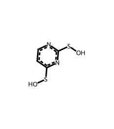 OSc1ccnc(SO)n1